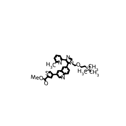 COC(=O)c1cc(-c2cnc3ccc(-c4c(-c5cccc(C)n5)ncn4COCC[Si](C)(C)C)cc3c2)cs1